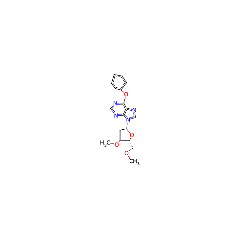 COC[C@H]1O[C@@H](n2cnc3c(Oc4ccccc4)ncnc32)CC1OC